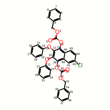 O=C(OCc1ccccc1)Oc1c(Oc2ccccc2)c(Oc2ccccc2)c(OC(=O)OCc2ccccc2)c2cc(Cl)ccc12